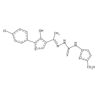 C/C(=N\NC(=S)Nc1ccc(C(=O)O)s1)c1csc(-c2ccc(Cl)cc2)c1O